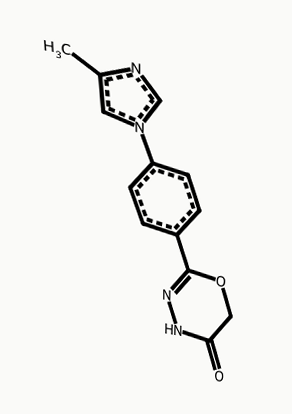 Cc1cn(-c2ccc(C3=NNC(=O)CO3)cc2)cn1